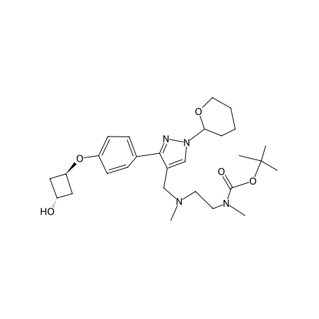 CN(CCN(C)C(=O)OC(C)(C)C)Cc1cn(C2CCCCO2)nc1-c1ccc(O[C@H]2C[C@H](O)C2)cc1